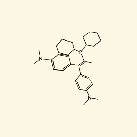 CC(=C(c1ccc(N(C)C)cc1)c1ccc(N(C)C)cc1)P(C1CCCCC1)C1CCCCC1